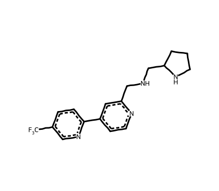 FC(F)(F)c1ccc(-c2ccnc(CNCC3CCCN3)c2)nc1